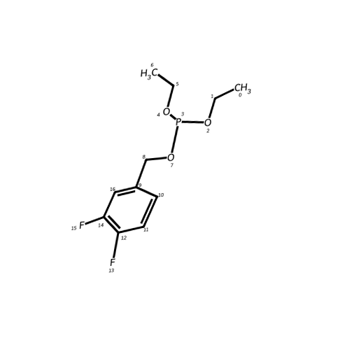 CCOP(OCC)OCc1ccc(F)c(F)c1